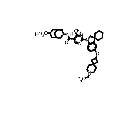 O=C(NC1CC2CC(C1)CC(C(=O)O)C2)c1cnc(N2CC3(CCCCC3)c3cc(OC4CC5(CCN(CC(F)(F)F)CC5)C4)ccc32)nc1C(F)(F)F